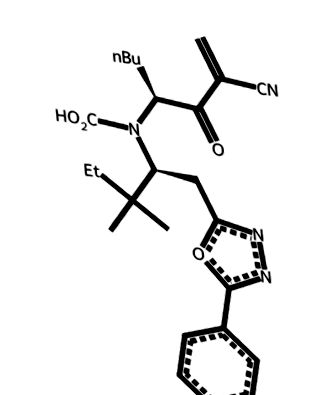 C=C(C#N)C(=O)[C@H](CCCC)N(C(=O)O)[C@@H](Cc1nnc(-c2ccccc2)o1)C(C)(C)CC